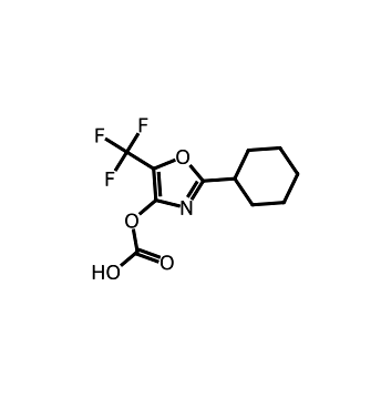 O=C(O)Oc1nc(C2CCCCC2)oc1C(F)(F)F